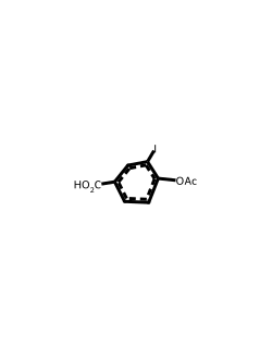 CC(=O)Oc1ccc(C(=O)O)cc1I